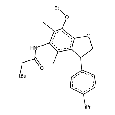 CCOc1c(C)c(NC(=O)CC(C)(C)C)c(C)c2c1OCC2c1ccc(C(C)C)cc1